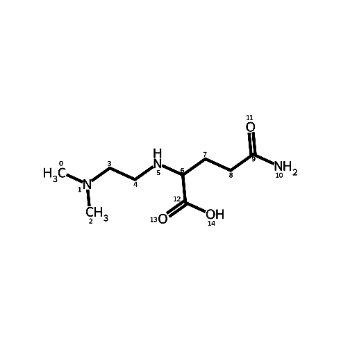 CN(C)CCNC(CCC(N)=O)C(=O)O